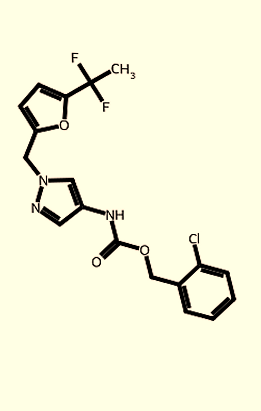 CC(F)(F)c1ccc(Cn2cc(NC(=O)OCc3ccccc3Cl)cn2)o1